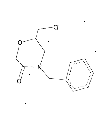 O=C1COC(CCl)CN1Cc1ccccc1